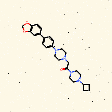 O=C(CN1CCN(c2ccc(-c3ccc4c(c3)OCO4)cc2)CC1)N1CCN(C2CCC2)CC1